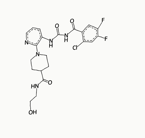 O=C(NC(=O)c1cc(F)c(F)cc1Cl)Nc1cccnc1N1CCC(C(=O)NCCO)CC1